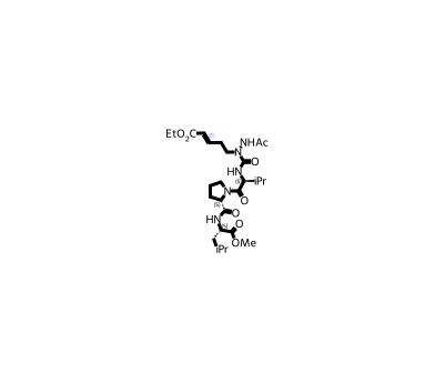 CCOC(=O)/C=C/CCN(NC(C)=O)C(=O)N[C@H](C(=O)N1CCC[C@H]1C(=O)N[C@@H](CC(C)C)C(=O)OC)C(C)C